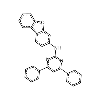 c1ccc(-c2cc(-c3ccccc3)nc(Nc3ccc4c(c3)oc3ccccc34)n2)cc1